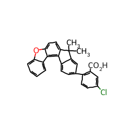 CC1(C)c2cc(-c3ccc(Cl)cc3C(=O)O)ccc2-c2c1ccc1oc3ccccc3c21